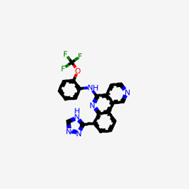 FC(F)(F)Oc1ccccc1Nc1nc2c(-c3nnc[nH]3)cccc2c2cnccc12